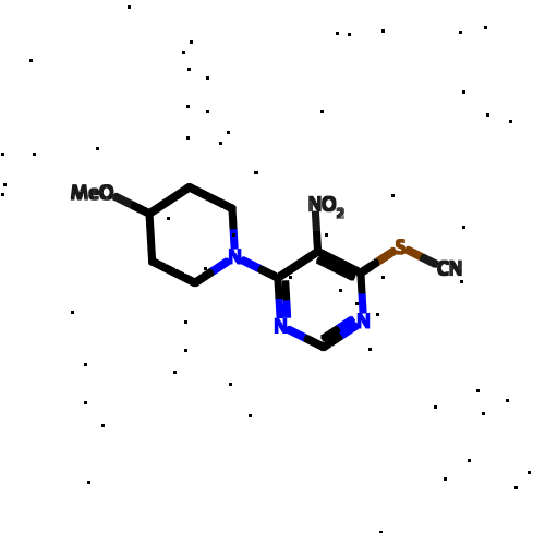 COC1CCN(c2ncnc(SC#N)c2[N+](=O)[O-])CC1